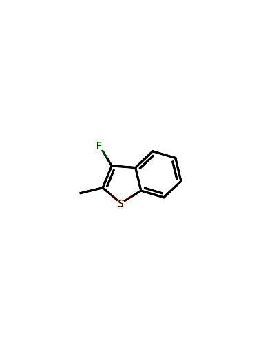 Cc1sc2ccccc2c1F